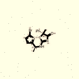 CC(C)[C@@]1(C)SC(N[C@@H](C)c2ccc(Br)s2)=NC1=O